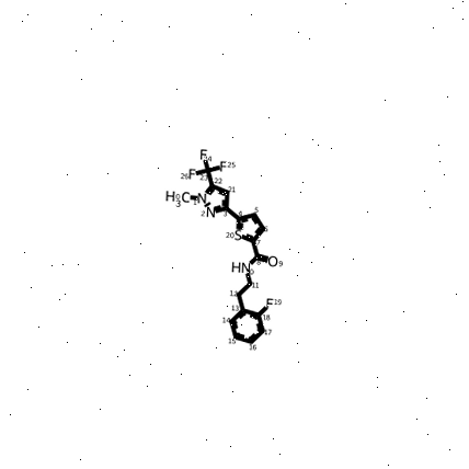 Cn1nc(-c2ccc(C(=O)NCCc3ccccc3F)s2)cc1C(F)(F)F